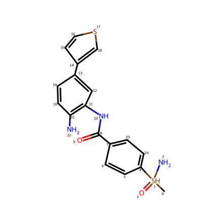 C[SH](N)(=O)c1ccc(C(=O)Nc2cc(-c3ccsc3)ccc2N)cc1